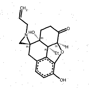 C=CCN1C[C@@]12Cc1ccc(O)c3c1[C@]1(CC)[C@H](O3)C(=O)CC[C@]21O